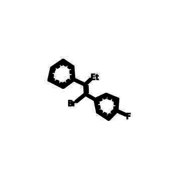 CC/C(=C(/Br)c1ccc(F)cc1)c1ccccc1